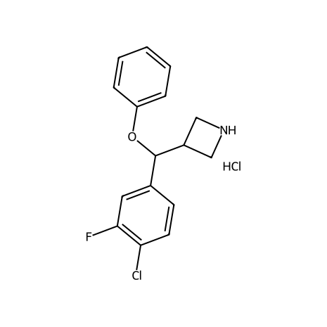 Cl.Fc1cc(C(Oc2ccccc2)C2CNC2)ccc1Cl